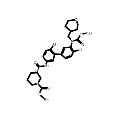 CC(C)(C)OC(=O)N1CCC[C@@H](C(=O)Nc2cc(-c3ccc(Cl)c(N(CC4CCOCC4)C(=O)OC(C)(C)C)c3)c(Cl)cn2)C1